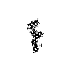 CC(C)[C@@H](NC(=O)OC(C)(C)C)C(=O)N1CCN(c2nc(-c3ccnc(NC4CCOCC4)c3)cc3cnccc23)CC1